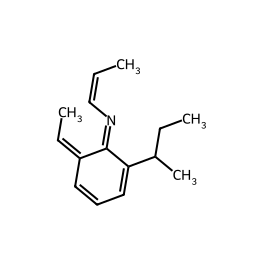 C\C=C/N=C1/C(C(C)CC)=CC=C/C1=C/C